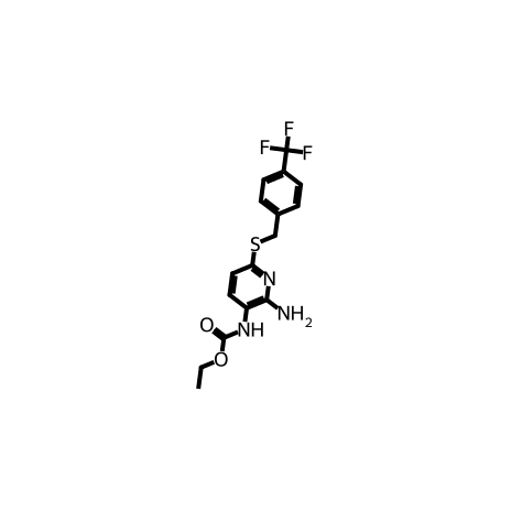 CCOC(=O)Nc1ccc(SCc2ccc(C(F)(F)F)cc2)nc1N